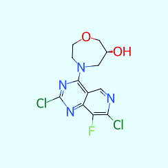 O[C@@H]1COCCN(c2nc(Cl)nc3c(F)c(Cl)ncc23)C1